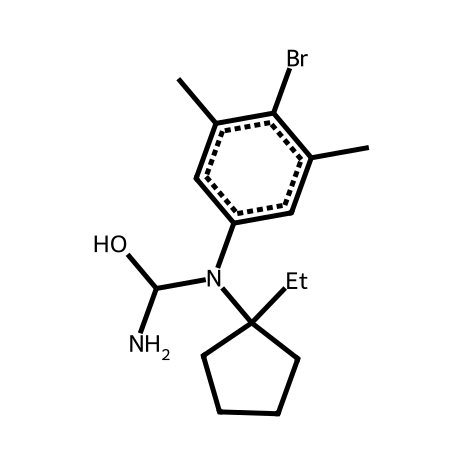 CCC1(N(c2cc(C)c(Br)c(C)c2)C(N)O)CCCC1